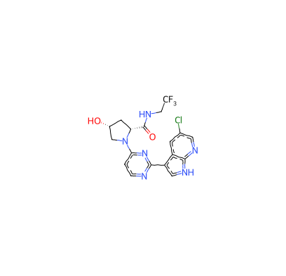 O=C(NCC(F)(F)F)[C@H]1C[C@@H](O)CN1c1ccnc(-c2c[nH]c3ncc(Cl)cc23)n1